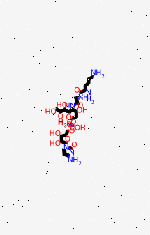 C[C@]1(OP(=O)(O)OCC2OC(n3ccc(N)nc3=O)[C@H](O)[C@@H]2O)CC(O)[C@@H](NC(=O)CNC(=O)C(N)CCCCN)C([C@H](O)[C@H](O)CO)O1